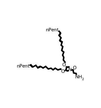 CCCCCC=CCC=CCCCCCCCCO[C@@H]1CN(C(=O)CCN)C[C@H]1OCCCCCCCCC=CCC=CCCCCC